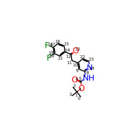 CC(C)(C)OC(=O)Nc1cc(CC(=O)c2ccc(F)c(F)c2)ccn1